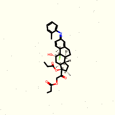 CCC(=O)OCC(=O)[C@@]1(OC(=O)CC)[C@@H](C)C[C@H]2[C@@H]3CCC4=C/C(=N/c5ccccc5C)C=C[C@]4(C)[C@@]3(F)[C@@H](O)C[C@@]21C